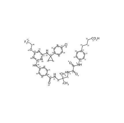 CC(C)(CNC(=O)C(=O)Nc1ccc(CCCC(=O)O)cc1)CNC(=O)c1ccc(Nc2nc(NC3(c4ccc(Cl)cc4)CC3)nc(OCC(F)(F)F)n2)cc1